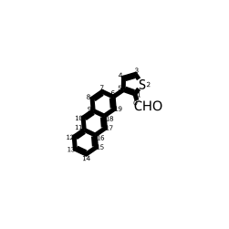 O=Cc1sccc1-c1ccc2cc3ccccc3cc2c1